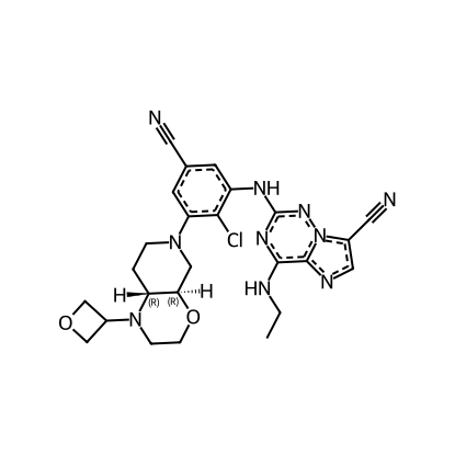 CCNc1nc(Nc2cc(C#N)cc(N3CC[C@@H]4[C@@H](C3)OCCN4C3COC3)c2Cl)nn2c(C#N)cnc12